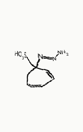 NN=NC1(S(=O)(=O)O)C=CC=CC1